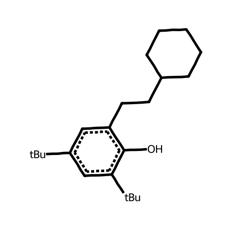 CC(C)(C)c1cc(CCC2CCCCC2)c(O)c(C(C)(C)C)c1